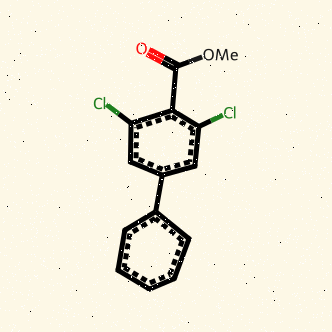 COC(=O)c1c(Cl)cc(-c2ccccc2)cc1Cl